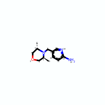 C[C@H]1COC[C@H](C)N1Cc1ccc(N)nc1